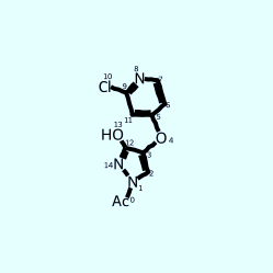 CC(=O)n1cc(Oc2ccnc(Cl)c2)c(O)n1